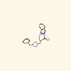 O=C1c2cc3ccccc3n2CC1CC1CCN(Cc2ccccc2)CC1